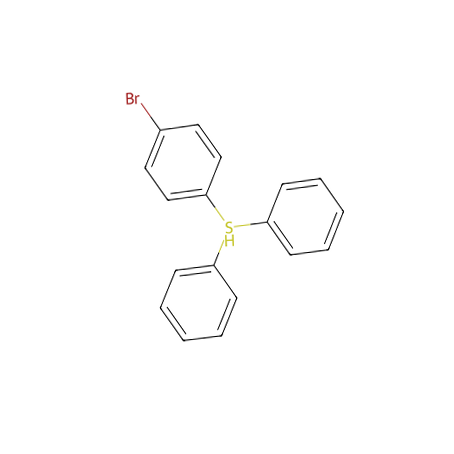 Brc1ccc([SH](c2ccccc2)c2ccccc2)cc1